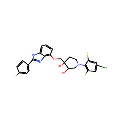 O[C@@H]1CN(c2c(F)cc(Cl)cc2F)CC[C@@]1(O)COc1cccc2[nH]c(-c3ccc(F)cc3)nc12